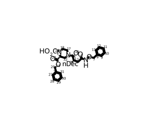 CCCCCCCCCC[C@H](CC(=O)NOCc1ccccc1)C(=O)N1CCN(C(=O)O)[C@H](C(=O)OCc2ccccc2)C1